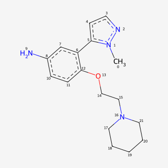 Cn1nccc1-c1cc(N)ccc1OCCN1CCCCC1